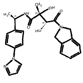 C[C@@H](NC(=O)[C@](C)(O)[C@@H](O)C(=O)N1Cc2ccccc2C1)c1ccc(-n2cccn2)cc1